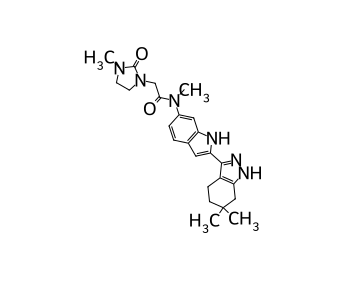 CN1CCN(CC(=O)N(C)c2ccc3cc(-c4n[nH]c5c4CCC(C)(C)C5)[nH]c3c2)C1=O